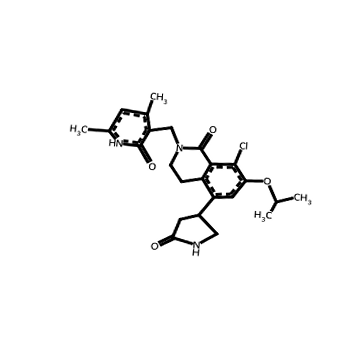 Cc1cc(C)c(CN2CCc3c(C4CNC(=O)C4)cc(OC(C)C)c(Cl)c3C2=O)c(=O)[nH]1